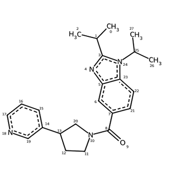 CC(C)c1nc2cc(C(=O)N3CCC(c4cccnc4)C3)ccc2n1C(C)C